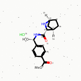 COC(=O)c1ccc([C@H](C)NC(=O)[C@@H]2N[C@H]3CC[C@@H]2C3)cc1.Cl